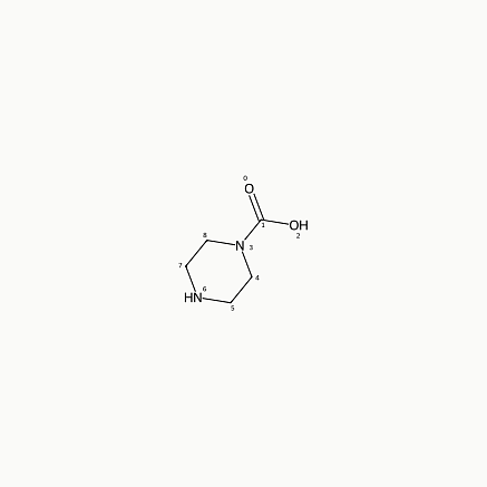 O=C(O)N1CCNCC1